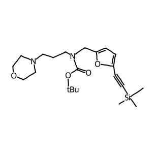 CC(C)(C)OC(=O)N(CCCN1CCOCC1)Cc1ccc(C#C[Si](C)(C)C)o1